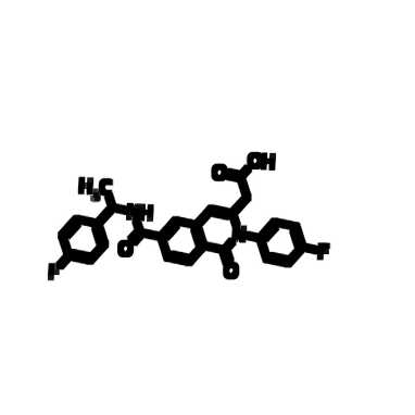 CC(NC(=O)c1ccc2c(=O)n(-c3ccc(F)cc3)c(CC(=O)O)cc2c1)c1ccc(F)cc1